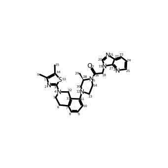 Cc1nc(N2CCc3cccc(N4CCN(C(=O)Cn5cnc6cccnc65)[C@H](C)C4)c3C2)sc1C